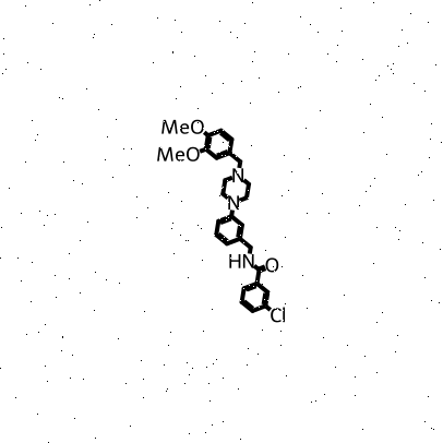 COc1ccc(CN2CCN(c3cccc(CNC(=O)c4cccc(Cl)c4)c3)CC2)cc1OC